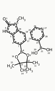 Cn1c(=O)[nH]c2cc(B3OC(C)(C)C(C)(C)O3)ccc21.OB(O)c1cccnc1